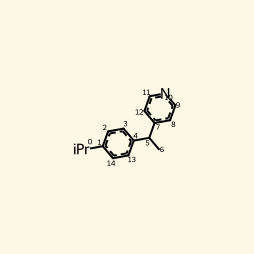 CC(C)c1ccc(C(C)c2ccncc2)cc1